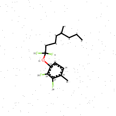 CCCC(C)CCCC(F)(F)Oc1ccc(C)c(F)c1F